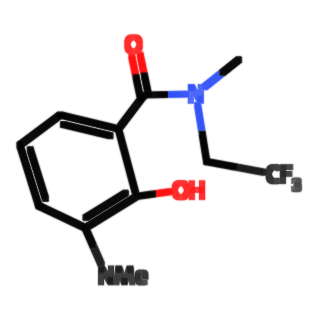 CNc1cccc(C(=O)N(C)CC(F)(F)F)c1O